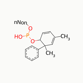 CCCCCCCCCOP(O)OC1C=CC(C)=CC1(C)c1ccccc1